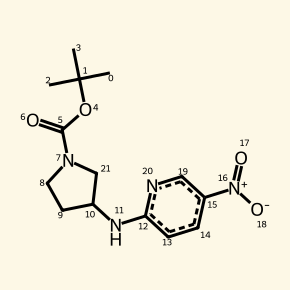 CC(C)(C)OC(=O)N1CCC(Nc2ccc([N+](=O)[O-])cn2)C1